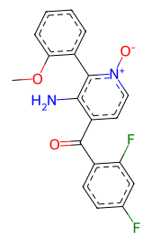 COc1ccccc1-c1c(N)c(C(=O)c2ccc(F)cc2F)cc[n+]1[O-]